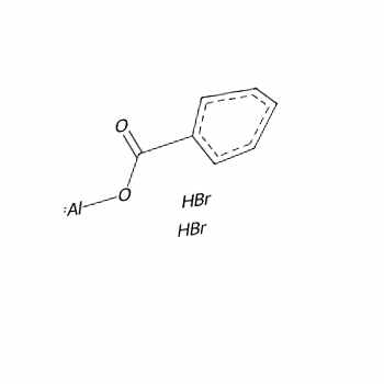 Br.Br.O=C([O][Al])c1ccccc1